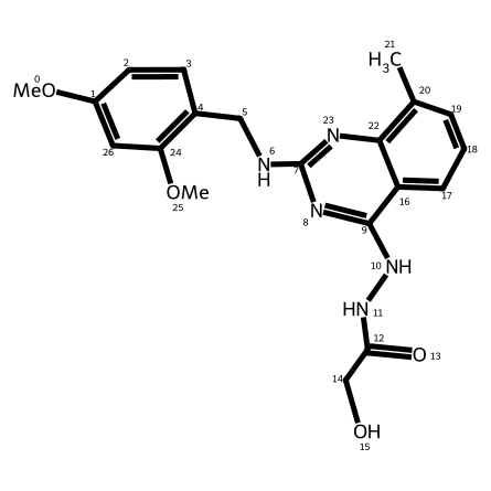 COc1ccc(CNc2nc(NNC(=O)CO)c3cccc(C)c3n2)c(OC)c1